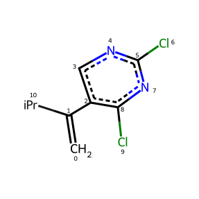 C=C(c1cnc(Cl)nc1Cl)C(C)C